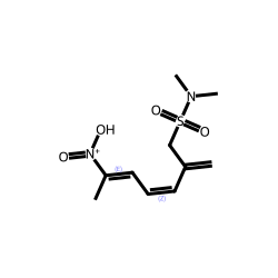 C=C(/C=C\C=C(/C)[N+](=O)O)CS(=O)(=O)N(C)C